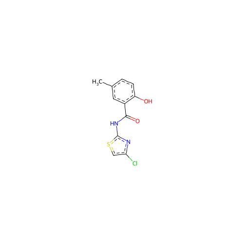 Cc1ccc(O)c(C(=O)Nc2nc(Cl)cs2)c1